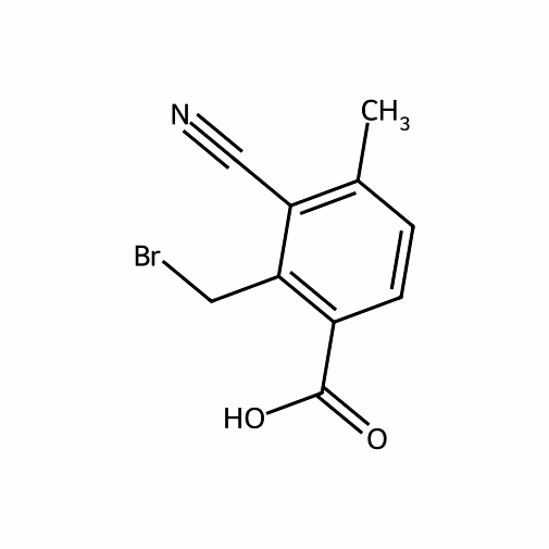 Cc1ccc(C(=O)O)c(CBr)c1C#N